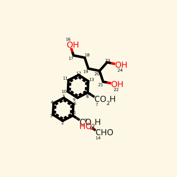 O=C(O)c1ccccc1.O=C(O)c1ccccc1.O=CO.OCCCC(CO)CO